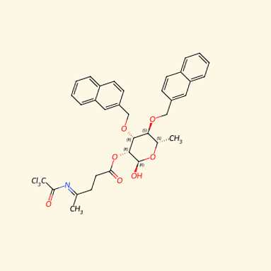 CC(CCC(=O)O[C@@H]1[C@H](OCc2ccc3ccccc3c2)[C@@H](OCc2ccc3ccccc3c2)[C@H](C)O[C@H]1O)=NC(=O)C(Cl)(Cl)Cl